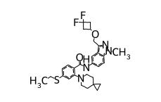 CCSc1ccc(C(=O)Nc2ccc3c(c2)c(COC2CC(F)(F)C2)nn3C)c(N2CCC3(CC2)CC3)c1